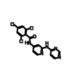 O=C(Nc1ccnc(Nc2ccncn2)c1)c1c(Cl)cc(Cl)cc1Cl